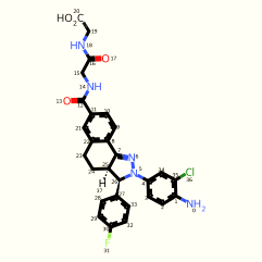 Nc1ccc(N2N=C3c4ccc(C(=O)NCC(=O)NCC(=O)O)cc4CC[C@@H]3[C@@H]2c2ccc(F)cc2)cc1Cl